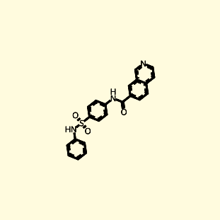 O=C(Nc1ccc(S(=O)(=O)Nc2ccccc2)cc1)c1ccc2ccncc2c1